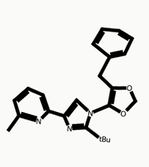 Cc1cccc(-c2cn(C3=C(Cc4ccccc4)OCO3)c(C(C)(C)C)n2)n1